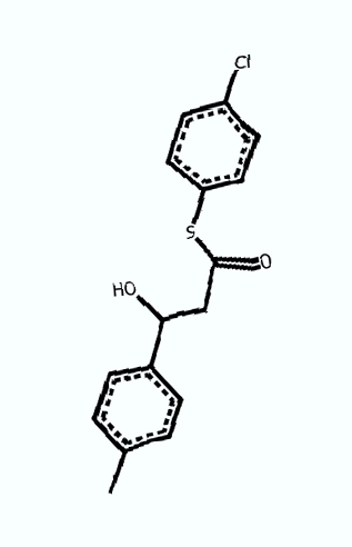 Cc1ccc(C(O)CC(=O)Sc2ccc(Cl)cc2)cc1